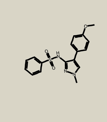 COc1ccc(-c2cn(C)nc2NS(=O)(=O)c2ccccc2)cc1